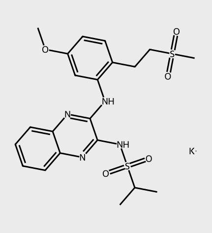 COc1ccc(CCS(C)(=O)=O)c(Nc2nc3ccccc3nc2NS(=O)(=O)C(C)C)c1.[K]